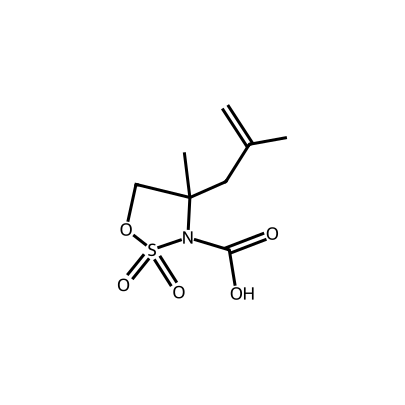 C=C(C)CC1(C)COS(=O)(=O)N1C(=O)O